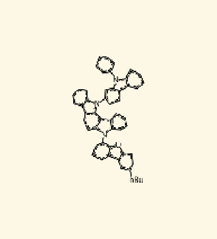 CCCCc1ccc2oc3c(-n4c5ccccc5c5c4ccc4c6ccccc6n(-c6ccc7c8ccccc8n(-c8ccccc8)c7c6)c45)cccc3c2c1